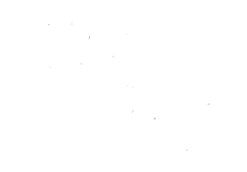 [c]1cccc2c1Cc1c-2ccc2cc3ccccc3cc12